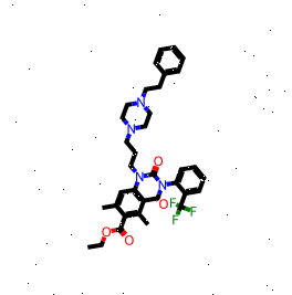 CCOC(=O)c1c(C)cc2c(c1C)c(=O)n(-c1ccccc1C(F)(F)F)c(=O)n2CCCN1CCN(CCc2ccccc2)CC1